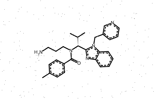 Cc1ccc(C(=O)N(CCCN)[C@@H](c2nc3ccccc3n2Cc2cccnc2)C(C)C)cc1